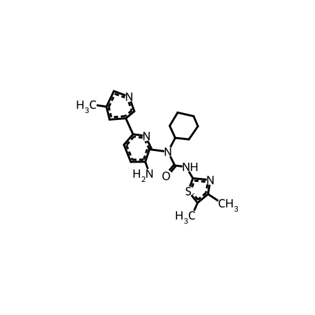 Cc1cncc(-c2ccc(N)c(N(C(=O)Nc3nc(C)c(C)s3)C3CCCCC3)n2)c1